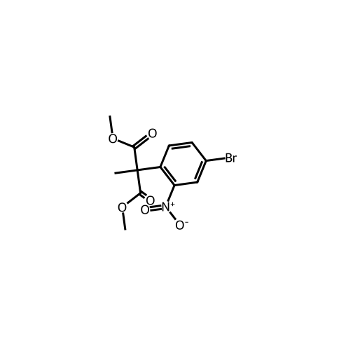 COC(=O)C(C)(C(=O)OC)c1ccc(Br)cc1[N+](=O)[O-]